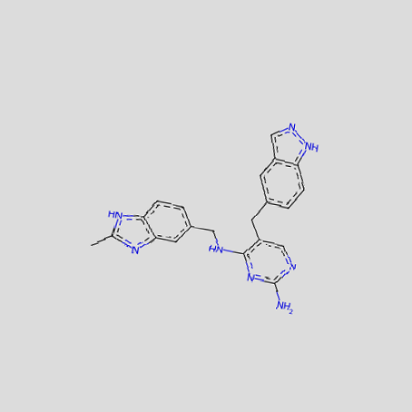 Cc1nc2cc(CNc3nc(N)ncc3Cc3ccc4[nH]ncc4c3)ccc2[nH]1